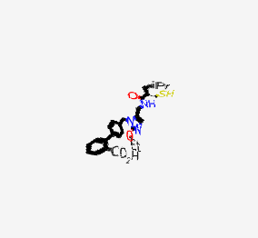 CCOc1ncc(CNC(=O)[C@@H](CS)CC(C)C)n1Cc1ccc(-c2ccccc2C(=O)O)cc1